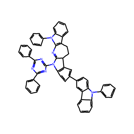 c1ccc(-c2nc(-c3ccccc3)nc(N3C4=Nc5c(c6ccccc6n5-c5ccccc5)CCC4c4cc(-c5ccc6c(c5)c5ccccc5n6-c5ccccc5)ccc43)n2)cc1